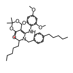 CCCCCc1ccc(CN(C(Nc2ccc(OC)cc2OC)=C2C(=O)OC(C)(C)OC2=O)C(C)CCCCC)cc1